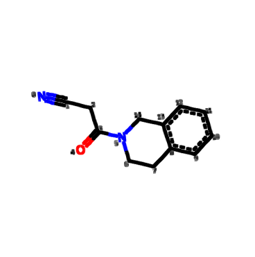 N#CCC(=O)N1CCc2ccccc2C1